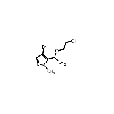 CC(OCCO)c1c(Br)cnn1C